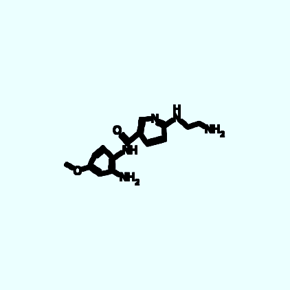 COc1ccc(NC(=O)c2ccc(NCCN)nc2)c(N)c1